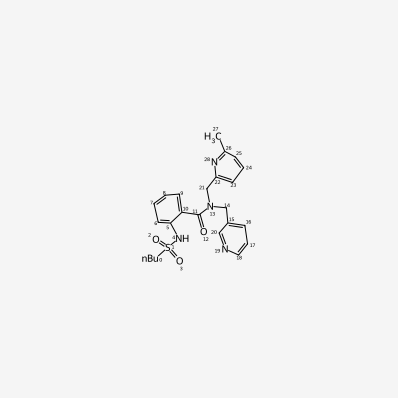 CCCCS(=O)(=O)Nc1ccccc1C(=O)N(Cc1cccnc1)Cc1cccc(C)n1